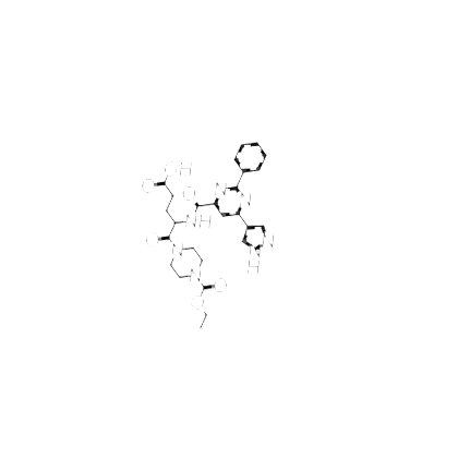 CCOC(=O)N1CCN(C(=O)C(CCC(=O)O)NC(=O)c2cc(-c3cn[nH]c3)nc(-c3ccccc3)n2)CC1